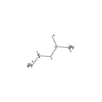 CC(C)SCC(C)C(C)C